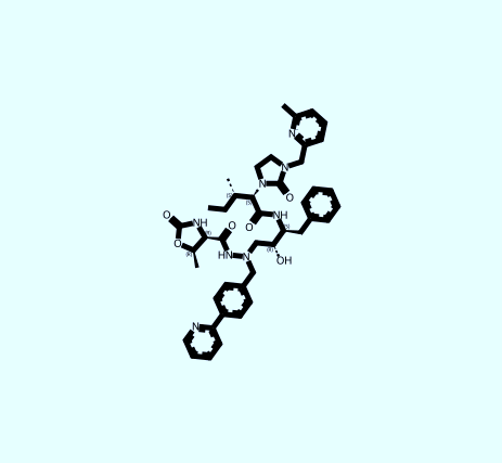 CC[C@H](C)[C@@H](C(=O)N[C@@H](Cc1ccccc1)[C@H](O)CN(Cc1ccc(-c2ccccn2)cc1)NC(=O)[C@@H]1NC(=O)O[C@@H]1C)N1CCN(Cc2cccc(C)n2)C1=O